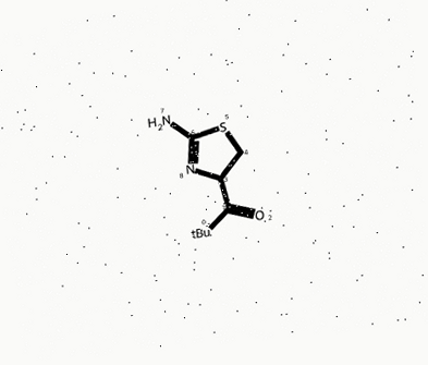 CC(C)(C)C(=O)C1CSC(N)=N1